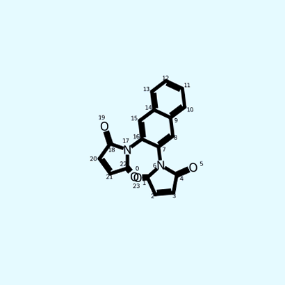 O=C1C=CC(=O)N1c1cc2ccccc2cc1N1C(=O)C=CC1=O